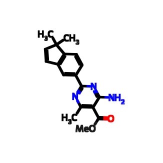 COC(=O)c1c(C)nc(-c2ccc3c(c2)C=CC3(C)C)nc1N